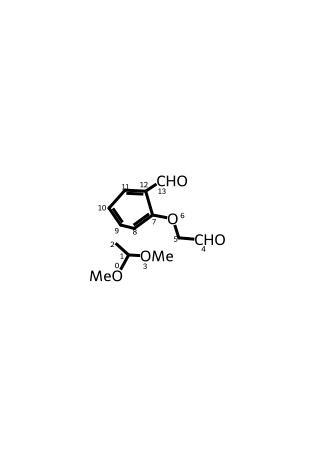 COC(C)OC.O=CCOc1ccccc1C=O